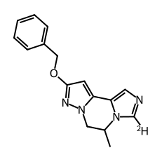 [2H]c1ncc2n1C(C)Cn1nc(OCc3ccccc3)cc1-2